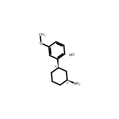 COc1cccc([C@@H]2CCC[C@H](N)C2)c1.Cl